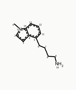 Cn1ccc2c(CCCCN)cccc21